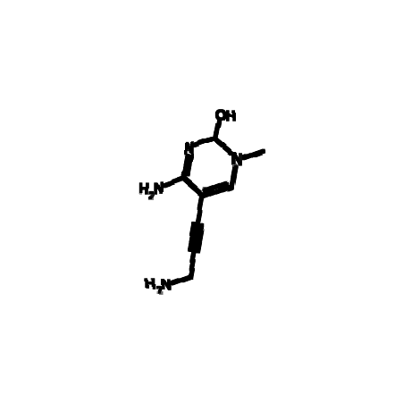 CN1C=C(C#CCN)C(N)=NC1O